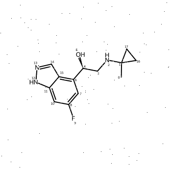 CC1(NC[C@H](O)c2cc(F)cc3[nH]ncc23)CC1